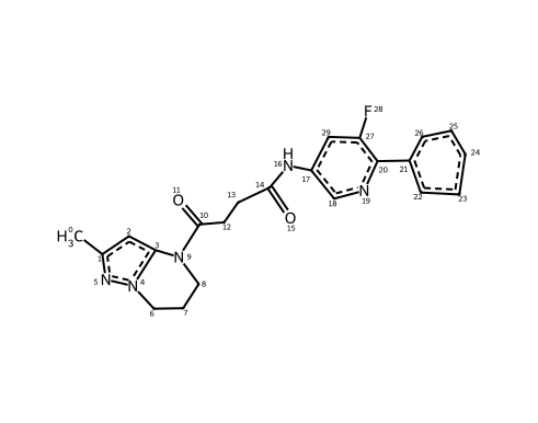 Cc1cc2n(n1)CCCN2C(=O)CCC(=O)Nc1cnc(-c2ccccc2)c(F)c1